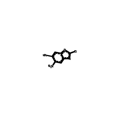 CCCc1cc2oc(Cl)nc2cc1[N+](=O)[O-]